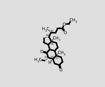 CCOC(=O)CC[C@@H](C)[C@H]1CCC2C3C(=O)[C@@H](CC)[C@@H]4CC(=O)CC[C@]4(C)C3CC[C@@]21C